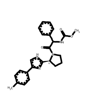 COC(=O)NC(C(=O)N1CCC[C@H]1c1nc(-c2ccc(C)cc2)c[nH]1)c1ccccc1